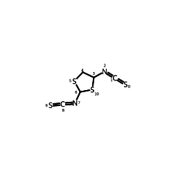 S=C=NC1CSC(N=C=S)S1